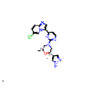 C[C@H]1CN(c2nccc(-c3cnc4ccc(Cl)cn34)n2)C[C@H](c2cn[nH]c2)O1